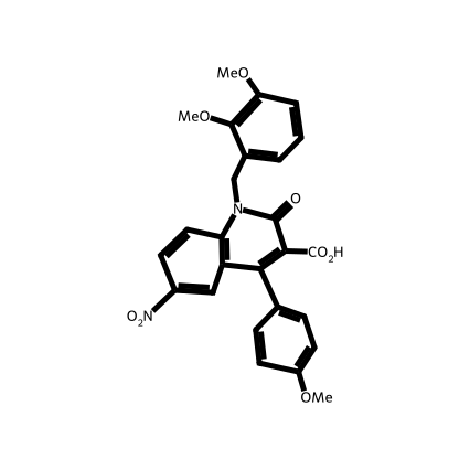 COc1ccc(-c2c(C(=O)O)c(=O)n(Cc3cccc(OC)c3OC)c3ccc([N+](=O)[O-])cc23)cc1